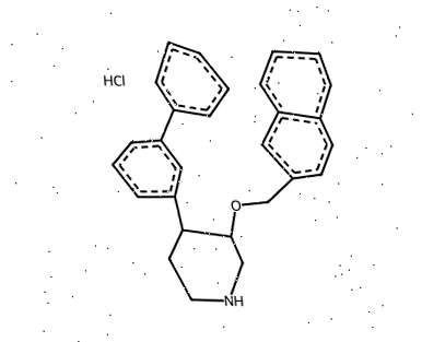 Cl.c1ccc(-c2cccc(C3CCNCC3OCc3ccc4ccccc4c3)c2)cc1